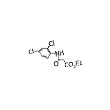 CCOC(=O)CC(=O)Nc1ccc(Cl)cc1Cl